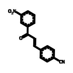 N#Cc1ccc(C=CC(=O)c2cccc([N+](=O)[O-])c2)cc1